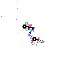 COC(=O)c1cc(OC(F)(F)F)c2nc(NCCNCc3c(-c4c(Cl)cccc4Cl)noc3C3CC3)sc2c1